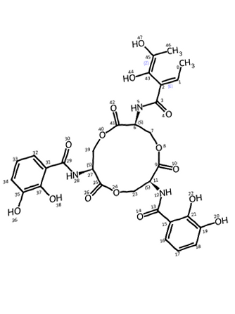 C/C=C(C(=O)N[C@H]1COC(=O)[C@@H](NC(=O)c2cccc(O)c2O)COC(=O)[C@@H](NC(=O)c2cccc(O)c2O)COC1=O)\C(O)=C(/C)O